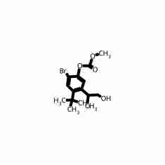 COC(=O)Oc1cc(C(C)CO)c(C(C)(C)C)cc1Br